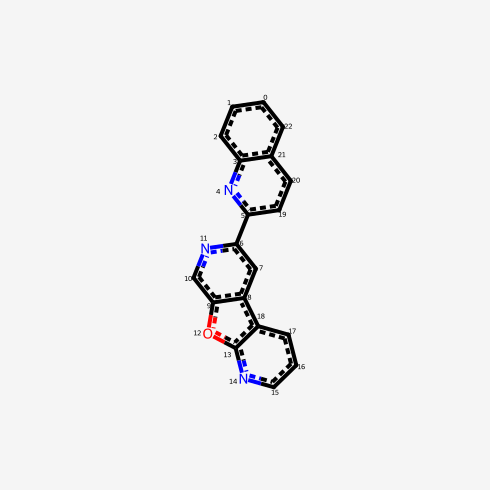 c1ccc2nc(-c3cc4c(cn3)oc3ncccc34)ccc2c1